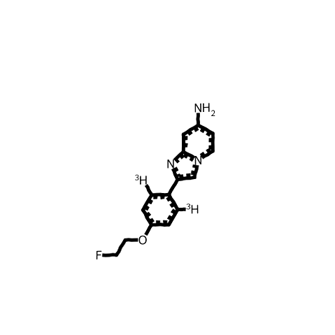 [3H]c1cc(OCCF)cc([3H])c1-c1cn2ccc(N)cc2n1